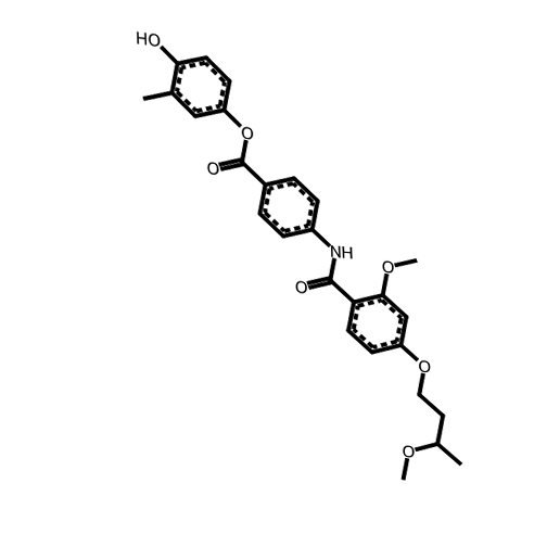 COc1cc(OCCC(C)OC)ccc1C(=O)Nc1ccc(C(=O)Oc2ccc(O)c(C)c2)cc1